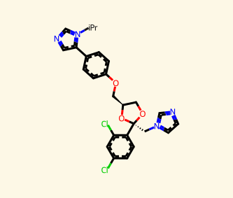 CC(C)n1cncc1-c1ccc(OC[C@H]2CO[C@@](Cn3ccnc3)(c3ccc(Cl)cc3Cl)O2)cc1